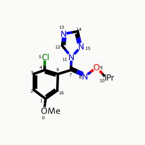 COc1ccc(Cl)c(C(=NOC(C)C)n2cncn2)c1